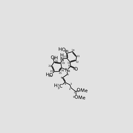 COC(CCC(C)=CCN1C(=O)c2cccc(O)c2Nc2c(O)cc(O)cc21)OC